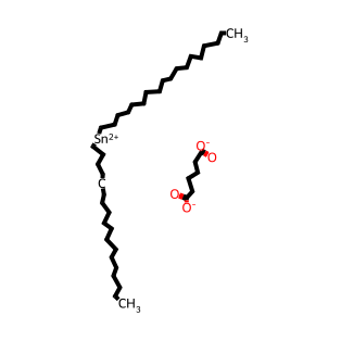 CCCCCCCCCCCCCCCCC[CH2][Sn+2][CH2]CCCCCCCCCCCCCCCCC.O=C([O-])CCCCC(=O)[O-]